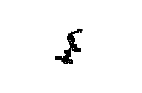 CC(C)CCC[C@@H](C)[C@H]1CC[C@H]2[C@@H]3CC=C4C[C@@H](N(CCCNC(=O)CCN(CC5c6ccccc6-c6ccccc65)C(=O)O)C(=O)OC(C)(C)C)CC[C@]4(C)[C@H]3CC[C@]12C